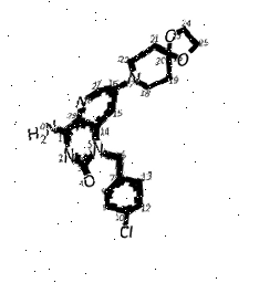 Nc1nc(=O)n(Cc2ccc(Cl)cc2)c2cc(N3CCC4(CC3)OCCO4)cnc12